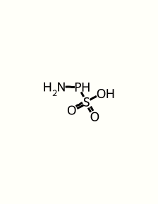 NPS(=O)(=O)O